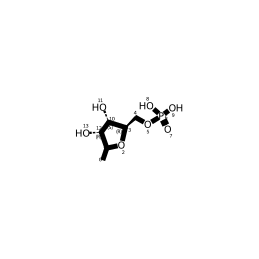 CC1O[C@H](COP(=O)(O)O)[C@@H](O)[C@H]1O